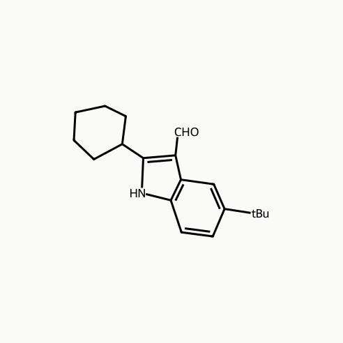 CC(C)(C)c1ccc2[nH]c(C3CCCCC3)c(C=O)c2c1